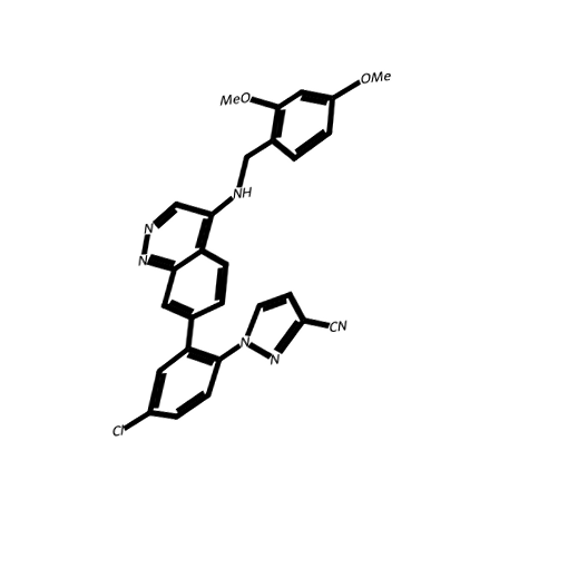 COc1ccc(CNc2cnnc3cc(-c4cc(Cl)ccc4-n4ccc(C#N)n4)ccc23)c(OC)c1